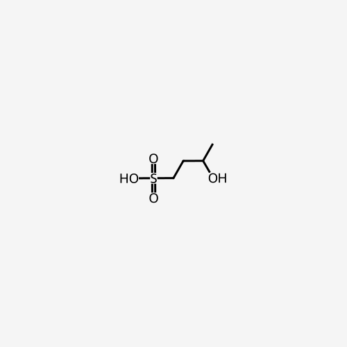 CC(O)CCS(=O)(=O)O